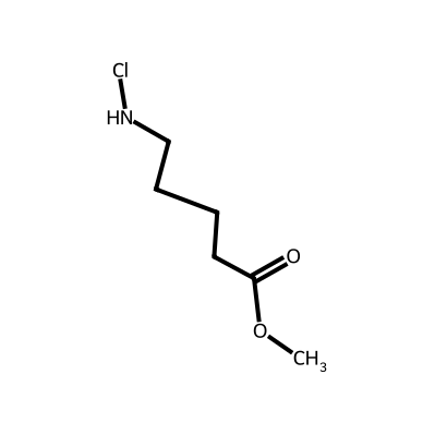 COC(=O)CCCCNCl